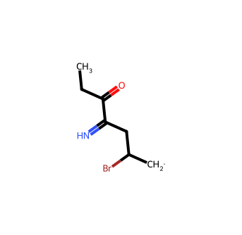 [CH2]C(Br)CC(=N)C(=O)CC